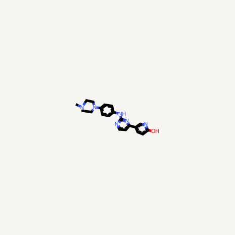 CN1CCN(c2ccc(Nc3nccc(-c4ccc(O)nc4)n3)cc2)CC1